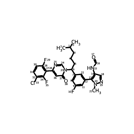 CC(C)CCCC(c1cc(F)cc(-c2c(NC=O)cnn2C)c1)n1cnc(-c2c(F)ccc(Cl)c2F)cc1=O